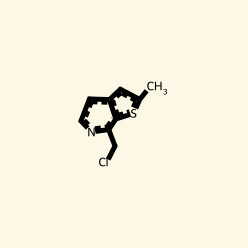 Cc1cc2ccnc(CCl)c2s1